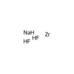 F.F.[NaH].[Zr]